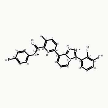 Cc1ccc(-c2cccn3c(-c4cccc(F)c4F)nnc23)nc1C(=O)Nc1ccc(F)cc1